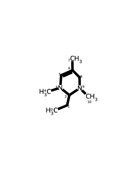 CCC1N(C)C=C(C)CN1C